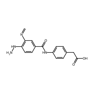 C=Nc1cc(C(=O)Nc2ccc(CC(=O)O)cc2)ccc1NN